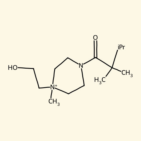 CC(C)C(C)(C)C(=O)N1CC[N+](C)(CCO)CC1